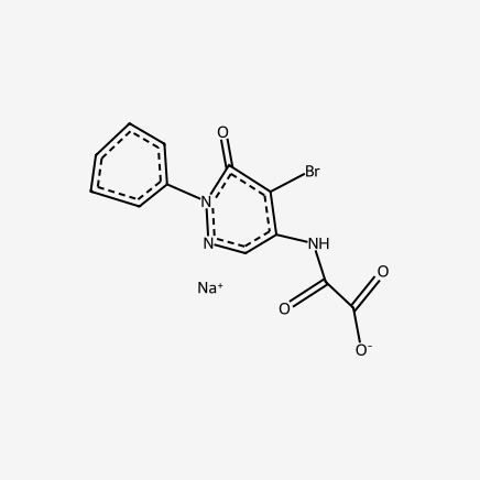 O=C([O-])C(=O)Nc1cnn(-c2ccccc2)c(=O)c1Br.[Na+]